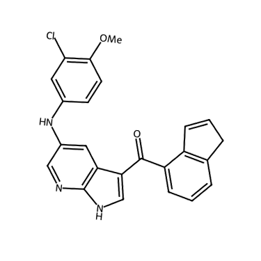 COc1ccc(Nc2cnc3[nH]cc(C(=O)c4cccc5c4C=CC5)c3c2)cc1Cl